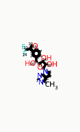 Cc1ncnc2c1ccn2[C@@H]1O[C@H](C(O)c2ccc3occ(C(F)F)c3c2)[C@@H](O)[C@H]1O